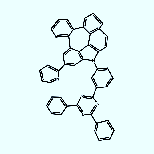 c1ccc(-c2nc(-c3ccccc3)nc(-c3cccc(-n4c5cc(-c6ccccn6)cc6c5c5c7c(cccc7ccc54)-c4ccccc4-6)c3)n2)cc1